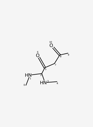 CNC(NC)C(=O)CC(C)=O